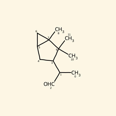 CC(C=O)C1CC2CC2(C)C1(C)C